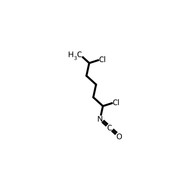 CC(Cl)CCCC(Cl)N=C=O